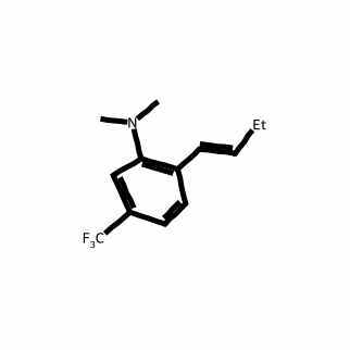 CC/C=C/c1ccc(C(F)(F)F)cc1N(C)C